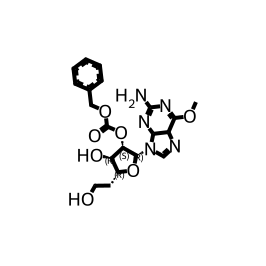 COC1=NC(N)=NC2C1N=CN2[C@@H]1O[C@H](CCO)[C@@H](O)[C@@H]1OC(=O)OCc1ccccc1